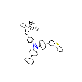 CC1(C)c2ccccc2-c2ccc(-c3ccc(N(c4ccc(-c5ccccc5)cc4)c4ccc(-c5ccc6sc7ccccc7c6c5)cc4)cc3)cc21